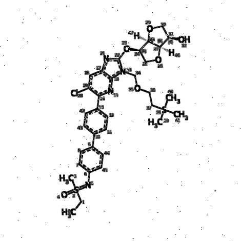 CCS(C)(=O)=Nc1ccc(-c2ccc(-c3nc4c(cc3Cl)nc(O[C@@H]3CO[C@H]5[C@@H]3OC[C@H]5O)n4COCCS(C)(C)C)cc2)cc1